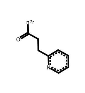 CCCC(=O)CCc1ccccn1